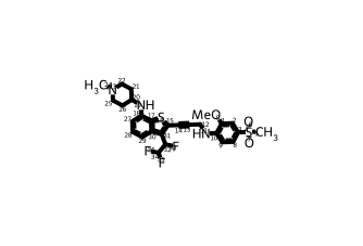 COc1cc(S(C)(=O)=O)ccc1NCC#Cc1sc2c(NC3CCN(C)CC3)cccc2c1C(F)C(F)F